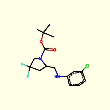 CC(C)(C)OC(=O)N1CC(F)(F)CC1CNc1cccc(Cl)c1